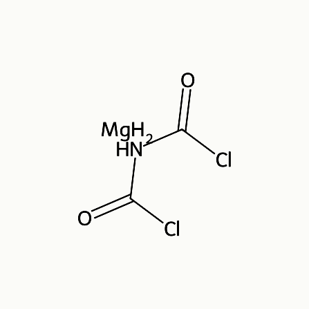 O=C(Cl)NC(=O)Cl.[MgH2]